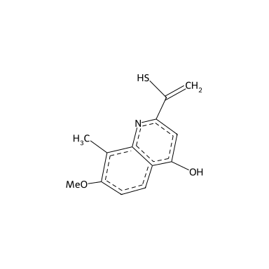 C=C(S)c1cc(O)c2ccc(OC)c(C)c2n1